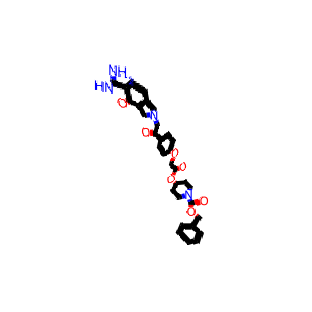 N=C(N)C1C=CC2=CN(CC(=O)c3ccc(OCC(=O)OC4CCN(C(=O)OCc5ccccc5)CC4)cc3)CC2C1=O